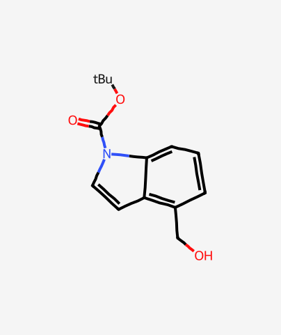 CC(C)(C)OC(=O)n1ccc2c(CO)cccc21